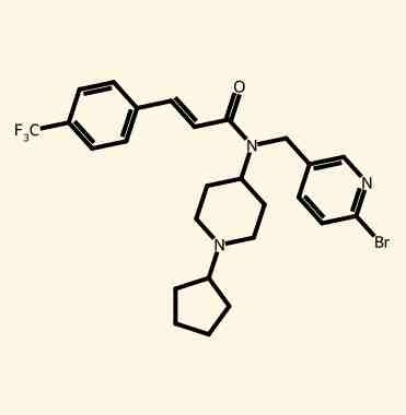 O=C(C=Cc1ccc(C(F)(F)F)cc1)N(Cc1ccc(Br)nc1)C1CCN(C2CCCC2)CC1